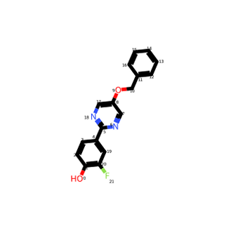 Oc1ccc(-c2ncc(OCc3ccccc3)cn2)cc1F